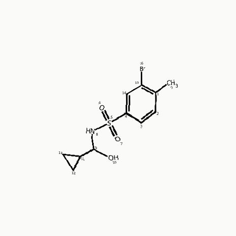 Cc1ccc(S(=O)(=O)NC(O)C2CC2)cc1Br